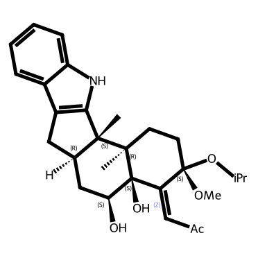 CO[C@]1(OC(C)C)CC[C@]2(C)[C@@]3(C)c4[nH]c5ccccc5c4C[C@@H]3C[C@H](O)[C@@]2(O)/C1=C/C(C)=O